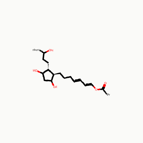 CCCCCC(O)CC[C@H]1C(O)CC(O)[C@@H]1CCCC=CC=COC(=O)C(C)C